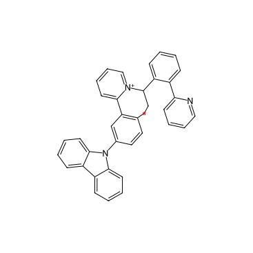 CCC(c1ccccc1-c1ccccn1)[n+]1ccccc1-c1cc(-n2c3ccccc3c3ccccc32)ccc1C